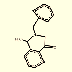 CC1c2ccccc2C(=O)CN1Cc1ccccc1